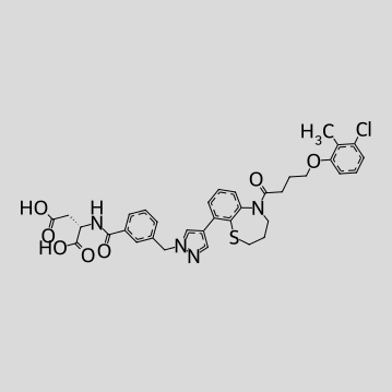 Cc1c(Cl)cccc1OCCCC(=O)N1CCCSc2c(-c3cnn(Cc4cccc(C(=O)N[C@@H](CC(=O)O)C(=O)O)c4)c3)cccc21